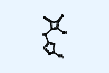 Cc1cc(Nc2c(O)c(=O)c2=O)no1